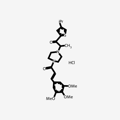 COc1cc(C=CC(=O)N2CCN(C(C)C(=O)c3cc(C(C)C)cs3)CC2)cc(OC)c1OC.Cl